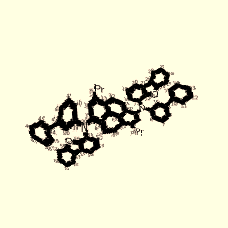 CC(C)c1cc(N(c2cccc(-c3ccccc3)c2)c2cccc3c2oc2ccccc23)c2ccc3c(C(C)C)cc(N(c4cccc(-c5ccccc5)c4)c4cccc5c4oc4ccccc45)c4ccc1c2c34